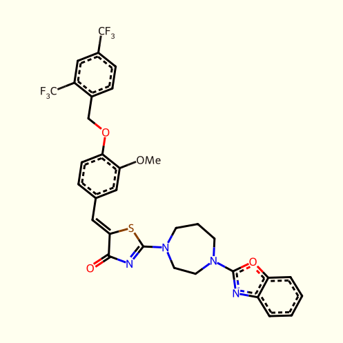 COc1cc(/C=C2\SC(N3CCCN(c4nc5ccccc5o4)CC3)=NC2=O)ccc1OCc1ccc(C(F)(F)F)cc1C(F)(F)F